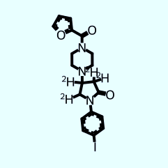 [2H]C1N(c2ccc(I)cc2)C(=O)C([2H])([2H])C1([2H])N1CCN(C(=O)c2ccco2)CC1